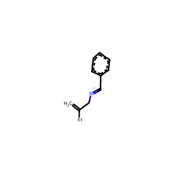 C=C(CC)C/N=C/c1ccccc1